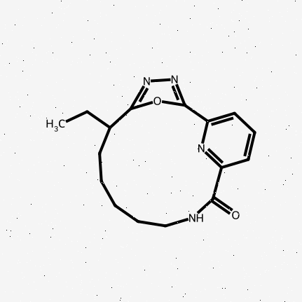 CCC1CCCCCNC(=O)c2cccc(n2)-c2nnc1o2